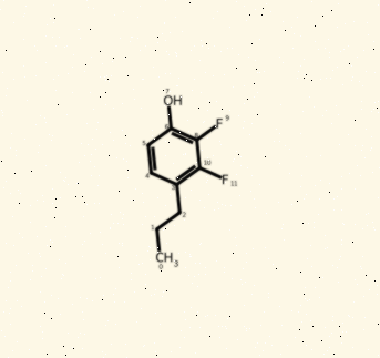 CCCc1ccc(O)c(F)c1F